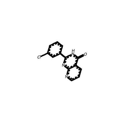 O=c1[nH]c(-c2cccc(Cl)c2)nc2ncccc12